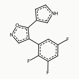 Fc1cc(F)c(F)c(-c2cnoc2-c2cc[nH]c2)c1